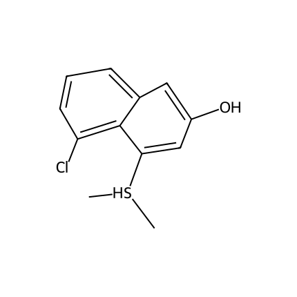 C[SH](C)c1cc(O)cc2cccc(Cl)c12